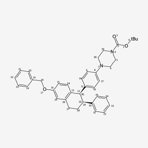 CC(C)(C)OC(=O)N1CCN(c2ccc([C@@H]3c4ccc(OCc5ccccc5)cc4CC[C@@H]3c3ccccc3)cc2)CC1